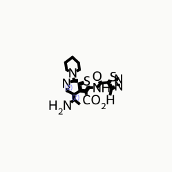 C=C(/N=C\C(=C(\C)N)c1csc(NC(=O)c2snnc2C)c1C(=O)O)N1CCCCC1